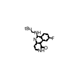 CC(C)(C)CNc1nc2cc[nH]c(=O)c2c2cc(F)ccc12